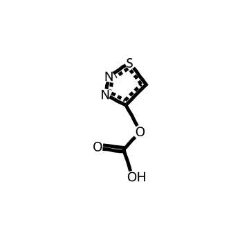 O=C(O)Oc1csnn1